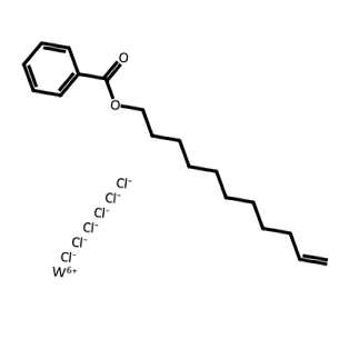 C=CCCCCCCCCCOC(=O)c1ccccc1.[Cl-].[Cl-].[Cl-].[Cl-].[Cl-].[Cl-].[W+6]